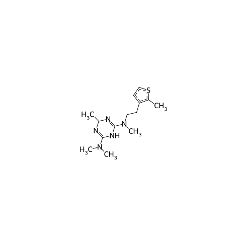 Cc1sccc1CCN(C)C1=NC(C)N=C(N(C)C)N1